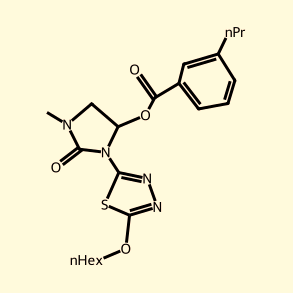 CCCCCCOc1nnc(N2C(=O)N(C)CC2OC(=O)c2cccc(CCC)c2)s1